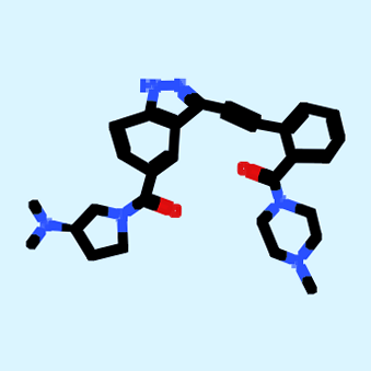 CN1CCN(C(=O)c2ccccc2C#Cc2n[nH]c3ccc(C(=O)N4CC[C@@H](N(C)C)C4)cc23)CC1